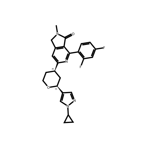 CN1Cc2cc([C@@H]3CCO[C@H](c4cnn(C5CC5)c4)C3)nc(-c3ccc(F)cc3F)c2C1=O